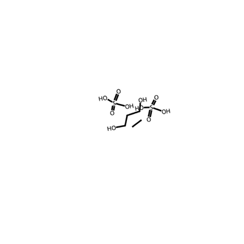 CC.O=S(=O)(O)O.O=S(=O)(O)O.OCCCO